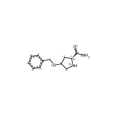 NC(=O)[C@@H]1CC(OCc2ccccc2)CN1